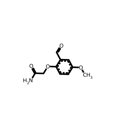 COc1ccc(OCC(N)=O)c(C=O)c1